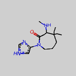 CNC1C(=O)N(c2c[nH]cn2)CCCC1(C)C